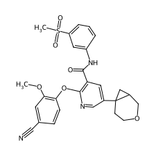 COc1cc(C#N)ccc1Oc1ncc(C23CCOCC2C3)cc1C(=O)Nc1cccc(S(C)(=O)=O)c1